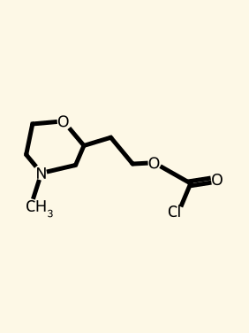 CN1CCOC(CCOC(=O)Cl)C1